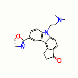 CN(C)CCn1c2ccc(-c3ncco3)cc2c2c3c(ccc21)C(=O)CC3